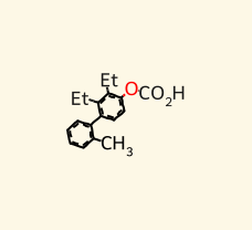 CCc1c(OC(=O)O)ccc(-c2ccccc2C)c1CC